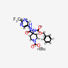 CC(C)(C)OC(=O)N1CCC(NC(=O)OCc2ccccc2)(C(=O)Nc2cnc(C(F)(F)F)nc2)CC1